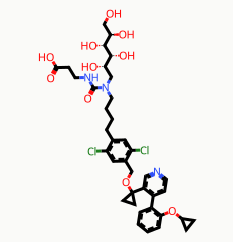 O=C(O)CCNC(=O)N(CCCCc1cc(Cl)c(COC2(c3cnccc3-c3ccccc3OC3CC3)CC2)cc1Cl)C[C@H](O)[C@@H](O)[C@H](O)[C@H](O)CO